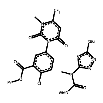 CC(C)OC(=O)c1cc(-n2c(=O)cc(C(F)(F)F)n(C)c2=O)ccc1Cl.CNC(=O)N(C)c1nnc(C(C)(C)C)s1